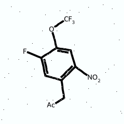 CC(=O)Cc1cc(F)c(OC(F)(F)F)cc1[N+](=O)[O-]